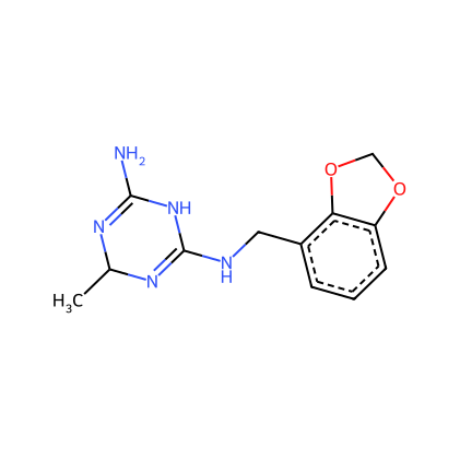 CC1N=C(N)NC(NCc2cccc3c2OCO3)=N1